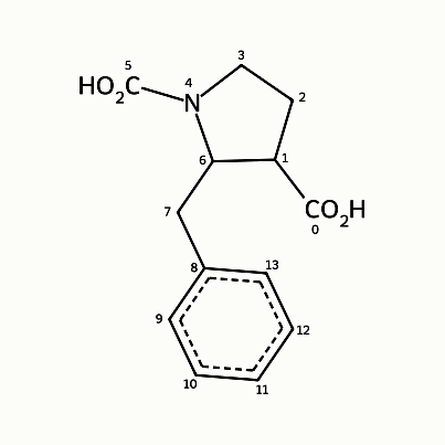 O=C(O)C1CCN(C(=O)O)C1Cc1ccccc1